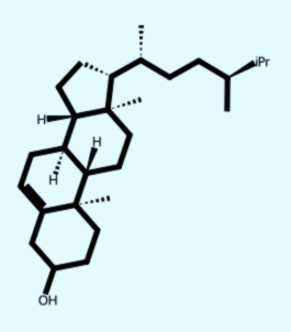 CC(C)[C@@H](C)CC[C@@H](C)[C@H]1CC[C@H]2[C@@H]3CC=C4CC(O)CC[C@]4(C)[C@H]3CC[C@]12C